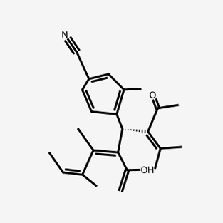 C=C(O)/C(=C(C)\C(C)=C/C)[C@@H](C(C(C)=O)=C(C)C)c1ccc(C#N)cc1C